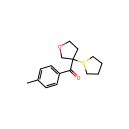 Cc1ccc(C(=O)C2([S+]3CCCC3)CCOC2)cc1